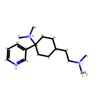 BN(C)CCC1CCC(c2cccnc2)(N(C)C)CC1